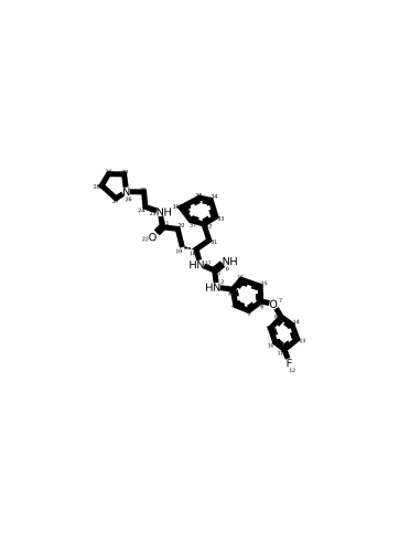 N=C(Nc1ccc(Oc2ccc(F)cc2)cc1)N[C@H](CCC(=O)NCCN1CCCC1)Cc1ccccc1